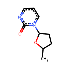 CC1CCC(n2cccnc2=O)O1